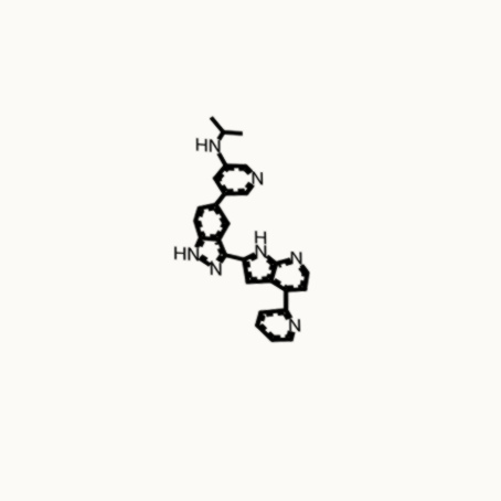 CC(C)Nc1cncc(-c2ccc3[nH]nc(-c4cc5c(-c6ccccn6)ccnc5[nH]4)c3c2)c1